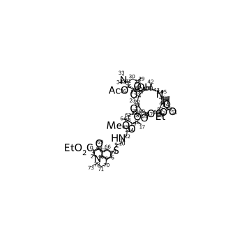 CCOC(=O)c1cn2c3c(cc(SCCNCCO[C@H]4[C@H](C)OC(O[C@H]5[C@H](C)[C@@H](O[C@@H]6O[C@H](C)C[C@H](N(C)C)[C@H]6OC(C)=O)[C@](C)(O)C[C@@H](C)CN(C)[C@H](C)[C@@H]6OC(=O)O[C@]6(C)[C@@H](CC)OC(=O)[C@@H]5C)C[C@@]4(C)OC)cc3c1=O)CCC2C